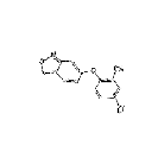 N#Cc1cc(Cl)ccc1Oc1ccc2nonc2c1